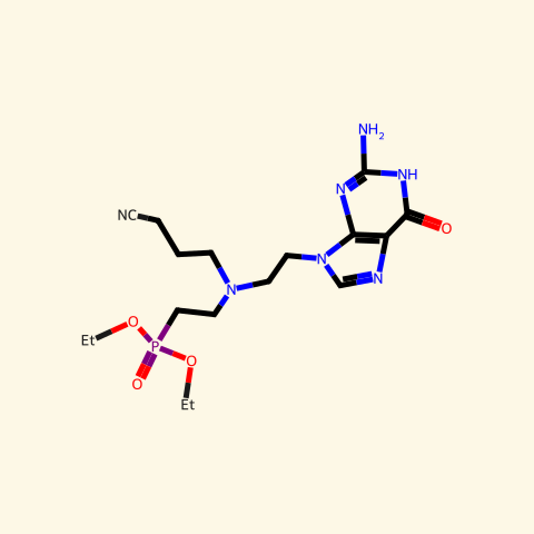 CCOP(=O)(CCN(CCCC#N)CCn1cnc2c(=O)[nH]c(N)nc21)OCC